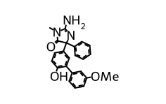 COc1cccc(-c2cc(C3(c4ccccc4)N=C(N)N(C)C3=O)ccc2O)c1